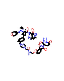 CCN(c1cc(-c2ccc(CN3CCN(CC(=O)NCCOc4cccc5c4C(=O)N(C4CCC(=O)NC4=O)C5=O)CC3)cc2)cc(C(=O)NCc2c(C)cc(C)[nH]c2=O)c1C)C1CCOCC1